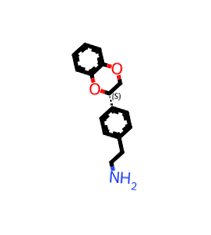 NCCc1ccc([C@H]2COc3ccccc3O2)cc1